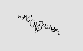 NC(=O)OC1CCN(c2nccc(Oc3ccc(OC(F)(F)F)cc3)c2Cl)CC1